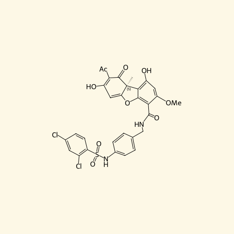 COc1cc(O)c2c(c1C(=O)NCc1ccc(NS(=O)(=O)c3ccc(Cl)cc3Cl)cc1)OC1=CC(O)=C(C(C)=O)C(=O)[C@]12C